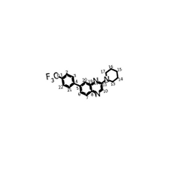 FC(F)(F)c1ccc(-c2ccc3ncc(N4CCCCC4)nc3c2)cc1